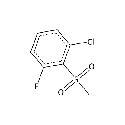 CS(=O)(=O)c1c(F)cccc1Cl